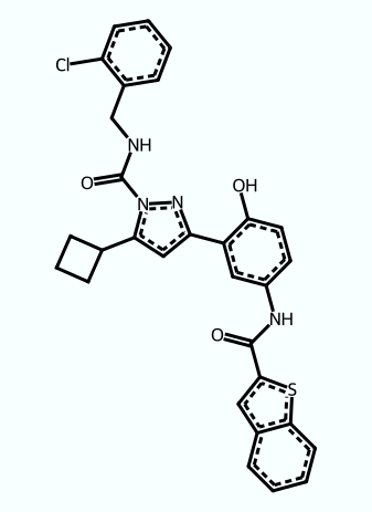 O=C(Nc1ccc(O)c(-c2cc(C3CCC3)n(C(=O)NCc3ccccc3Cl)n2)c1)c1cc2ccccc2s1